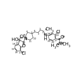 C[C@@H](CCCC1CCN(C(=O)[C@](O)(c2cccc(Cl)c2)C(F)(F)F)CC1)Nc1ccc(C(=O)N(C)C)c(Cl)c1